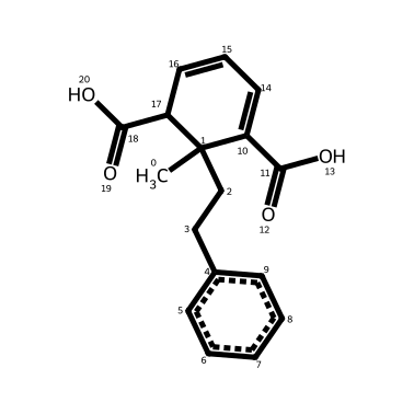 CC1(CCc2ccccc2)C(C(=O)O)=CC=CC1C(=O)O